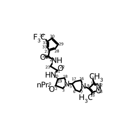 CCCO[C@@H]1CN(C2CCN(c3c(C)noc3C)CC2)C[C@H]1NC(=O)CNC(=O)c1cccc(C(F)(F)F)c1